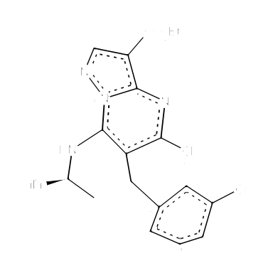 CCOC(=O)c1cnn2c(N[C@@H](C)C(C)C)c(Cc3cccc(Cl)c3)c(Cl)nc12